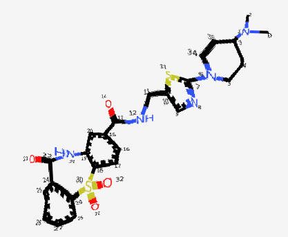 CN(C)C1CCN(c2ncc(CNC(=O)c3ccc4c(c3)NC(=O)c3ccccc3S4(=O)=O)s2)CC1